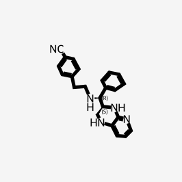 N#Cc1ccc(CCN[C@H](c2ccccc2)[C@@H]2CNc3cccnc3N2)cc1